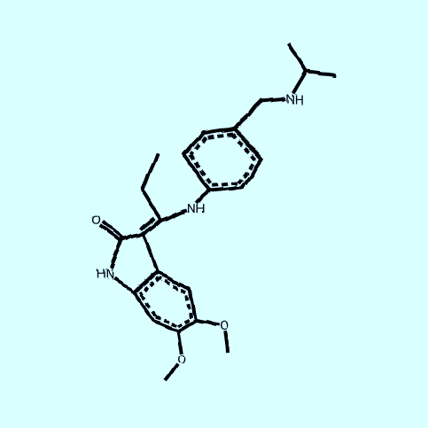 CCC(Nc1ccc(CNC(C)C)cc1)=C1C(=O)Nc2cc(OC)c(OC)cc21